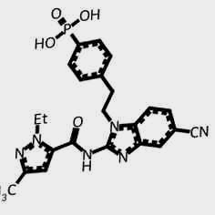 CCn1nc(C)cc1C(=O)Nc1nc2cc(C#N)ccc2n1CCc1ccc(P(=O)(O)O)cc1